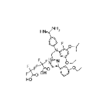 CCOc1cccc(-c2c[nH]c(CN(c3ccc(C(=N)N)cc3)c3cc(OCC)cc(OC(C)C)c3F)n2)c1.O=C(O)C(F)(F)F.O=C(O)C(F)(F)F